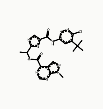 CC(NC(=O)c1ncnc2c1cnn2C)c1ncc(C(=O)Nc2cc(C(C)(C)C)c(Cl)nn2)s1